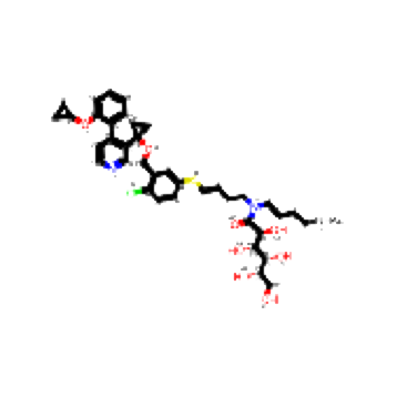 CC(=O)NCCCCN(CCCCSc1ccc(Cl)c(COC2(c3cnccc3-c3ccccc3OC3CC3)CC2)c1)C(=O)[C@@H](O)[C@@H](O)[C@H](O)[C@@H](O)CO